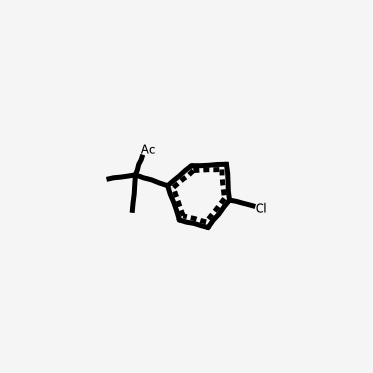 CC(=O)C(C)(C)c1ccc(Cl)cc1